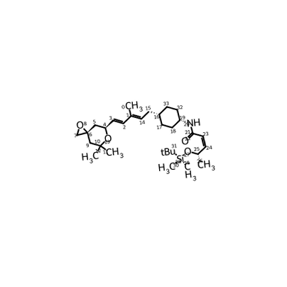 CC(/C=C/[C@@H]1C[C@]2(CO2)CC(C)(C)O1)=C\C[C@H]1CC[C@@H](NC(=O)/C=C\[C@H](C)O[Si](C)(C)C(C)(C)C)CC1